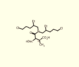 CCCCCCCCCCC(C(=O)N(CC(CC)CCCCl)CC(CC)CCCCl)[C@H](C)C(=O)O